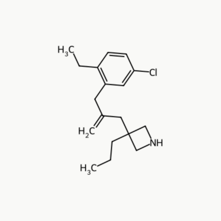 C=C(Cc1cc(Cl)ccc1CC)CC1(CCC)CNC1